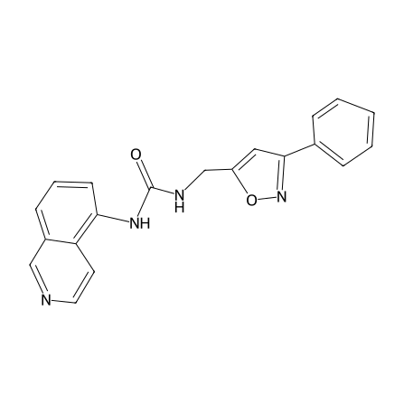 O=C(NCc1cc(-c2ccccc2)no1)Nc1cccc2cnccc12